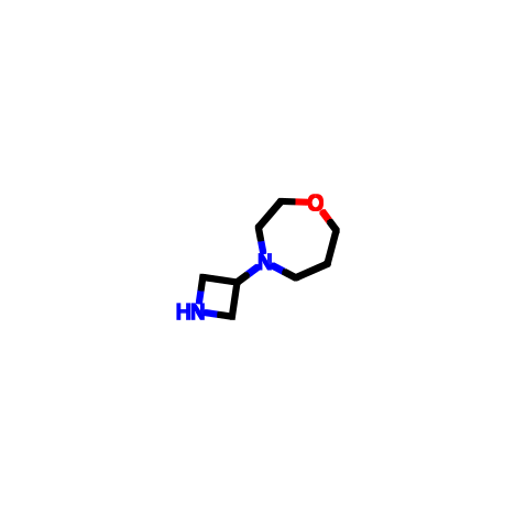 C1COCCN(C2CNC2)C1